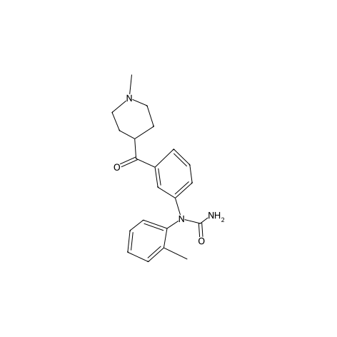 Cc1ccccc1N(C(N)=O)c1cccc(C(=O)C2CCN(C)CC2)c1